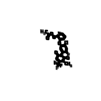 CC(=O)OOc1ncccc1Oc1cc(-n2c(=O)cc(C(F)(F)F)n(C)c2=O)c(F)cc1Cl